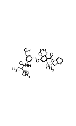 CNc1cc(OCc2cc(CO)cc(NC(=O)C(C)NC)c2)c(OC)cc1C(=O)N1CCc2ccccc21